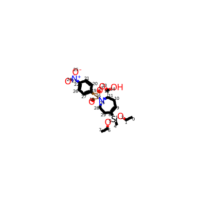 CCO[Si](C)(OCC)C1=CC[C@@H](C(=O)O)N(S(=O)(=O)c2ccc([N+](=O)[O-])cc2)CC1